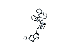 Clc1ccc2scc(CNCC[C@@]3(c4ccccn4)CCOC4(CCCC4)C3)c2c1